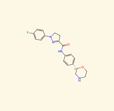 O=C(Nc1ccc([C@H]2CNCCO2)cc1)C1=NN(c2ccc(F)cc2)CC1